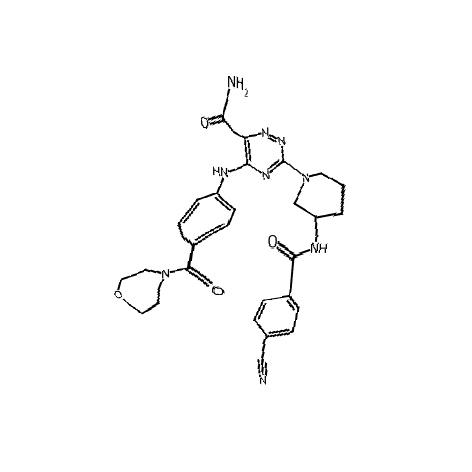 N#Cc1ccc(C(=O)NC2CCCN(c3nnc(C(N)=O)c(Nc4ccc(C(=O)N5CCOCC5)cc4)n3)C2)cc1